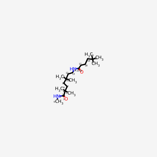 CNC(=O)C(C)(C)CCC(C)(C)CCNC(=O)CCCC(C)(C)C